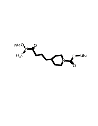 CON(C)C(=O)CCCC1CCN(C(=O)OC(C)(C)C)CC1